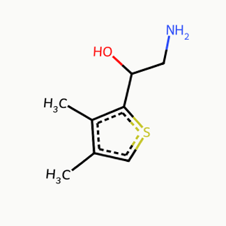 Cc1csc(C(O)CN)c1C